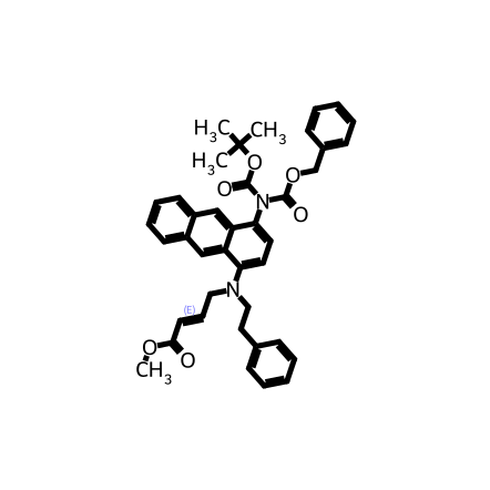 COC(=O)/C=C/CN(CCc1ccccc1)c1ccc(N(C(=O)OCc2ccccc2)C(=O)OC(C)(C)C)c2cc3ccccc3cc12